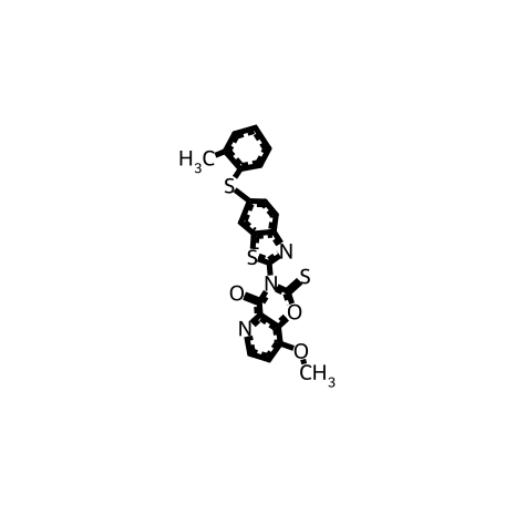 COc1ccnc2c(=O)n(-c3nc4ccc(Sc5ccccc5C)cc4s3)c(=S)oc12